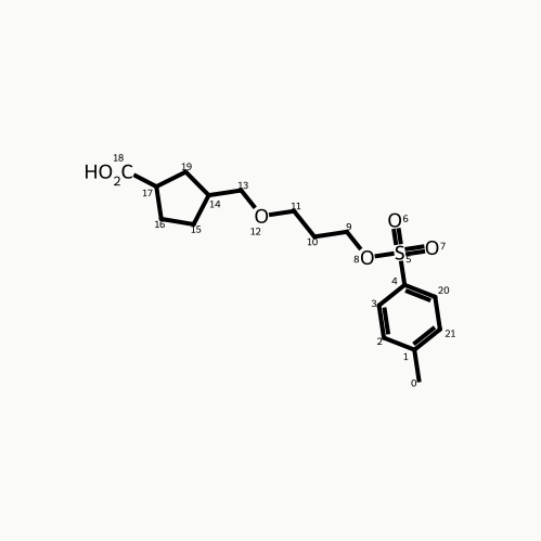 Cc1ccc(S(=O)(=O)OCCCOCC2CCC(C(=O)O)C2)cc1